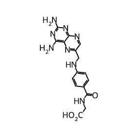 Nc1nc(N)c2nc(CNc3ccc(C(=O)NCC(=O)O)cc3)cnc2n1